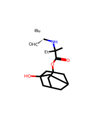 CC[C@H](C)[C@@H](C=O)NC(C)(CC)C(=O)OC12CC3CC(CC(O)(C3)C1)C2